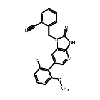 COc1cccc(F)c1-c1cnc2[nH]c(=O)n(Cc3ccccc3C#N)c2c1